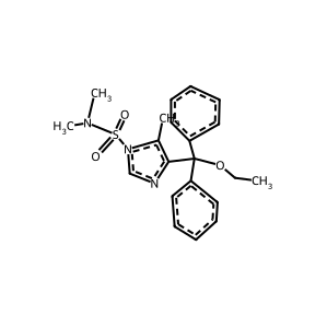 CCOC(c1ccccc1)(c1ccccc1)c1ncn(S(=O)(=O)N(C)C)c1C